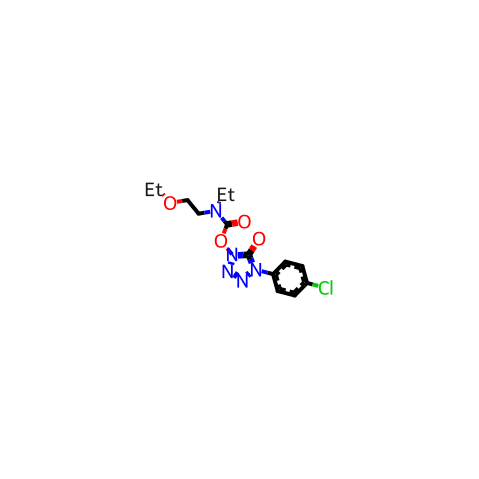 CCOCCN(CC)C(=O)On1nnn(-c2ccc(Cl)cc2)c1=O